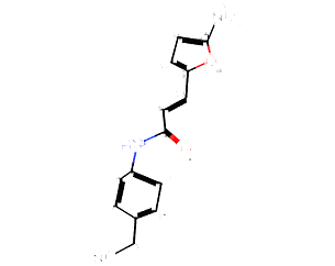 N#CCc1ccc(NC(=O)/C=C/c2ccc([N+](=O)[O-])o2)cc1